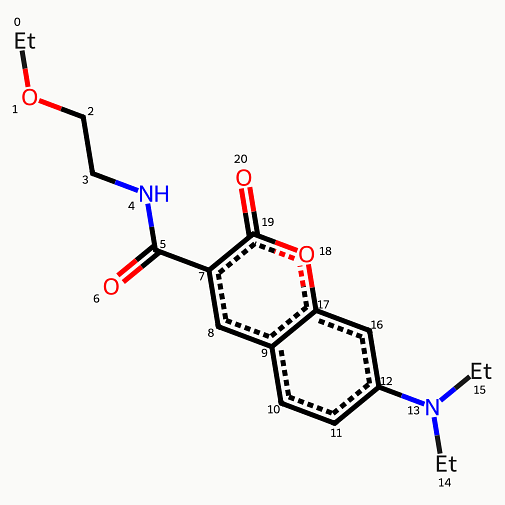 [CH2]COCCNC(=O)c1cc2ccc(N(CC)CC)cc2oc1=O